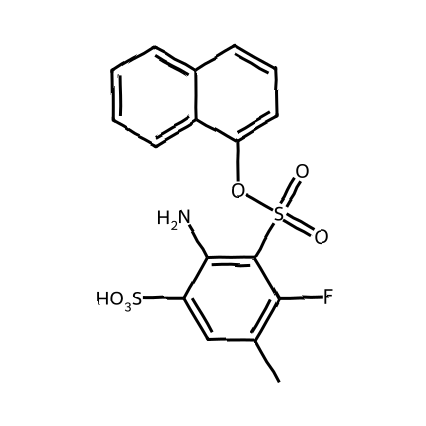 Cc1cc(S(=O)(=O)O)c(N)c(S(=O)(=O)Oc2cccc3ccccc23)c1F